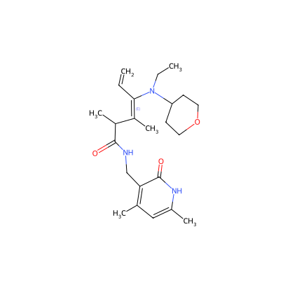 C=C/C(=C(/C)C(C)C(=O)NCc1c(C)cc(C)[nH]c1=O)N(CC)C1CCOCC1